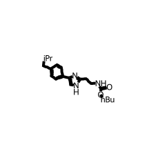 CCCCOC(=O)NCCc1nc(-c2ccc(CC(C)C)cc2)c[nH]1